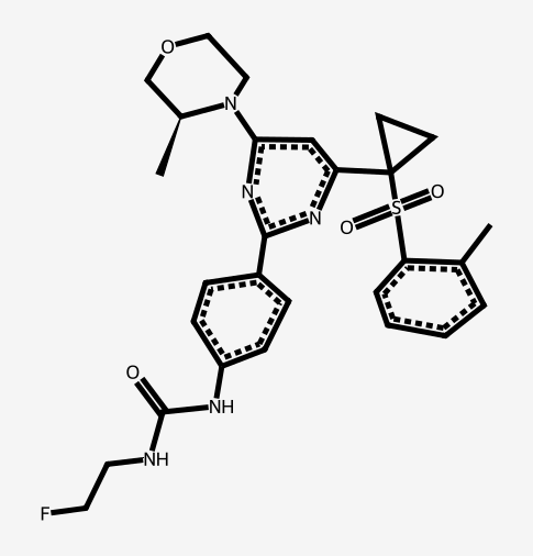 Cc1ccccc1S(=O)(=O)C1(c2cc(N3CCOC[C@@H]3C)nc(-c3ccc(NC(=O)NCCF)cc3)n2)CC1